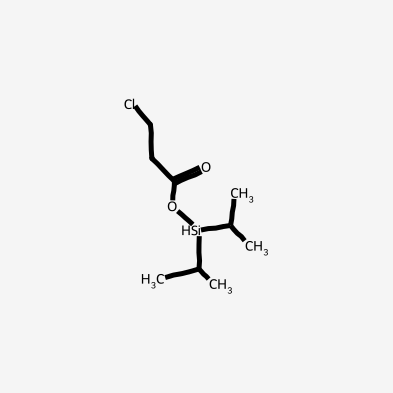 CC(C)[SiH](OC(=O)CCCl)C(C)C